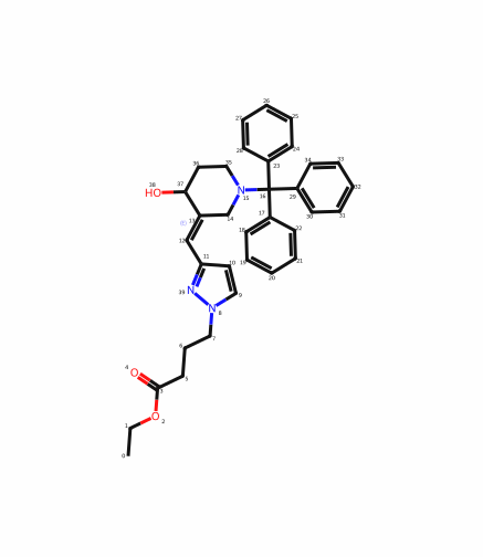 CCOC(=O)CCCn1ccc(/C=C2\CN(C(c3ccccc3)(c3ccccc3)c3ccccc3)CCC2O)n1